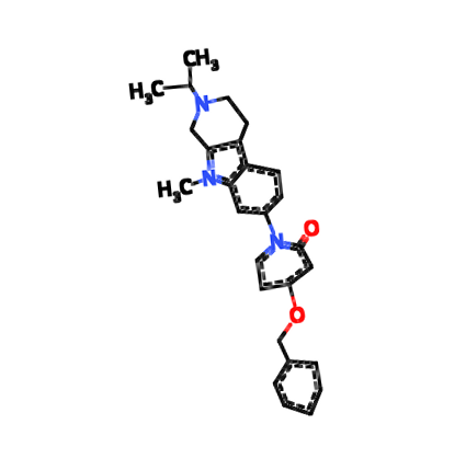 CC(C)N1CCc2c(n(C)c3cc(-n4ccc(OCc5ccccc5)cc4=O)ccc23)C1